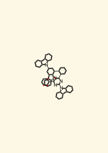 c1ccc(-c2nc(-c3ccccc3-c3cc(-n4c5ccccc5c5ccccc54)cc4c3oc3ccccc34)nc(-n3c4ccccc4c4ccccc43)n2)cc1